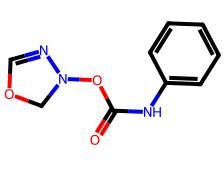 O=C(Nc1ccccc1)ON1COC=N1